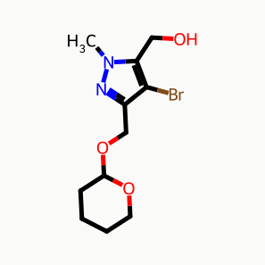 Cn1nc(COC2CCCCO2)c(Br)c1CO